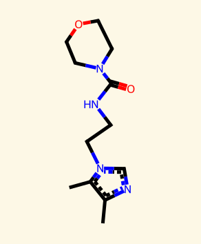 Cc1ncn(CCNC(=O)N2CCOCC2)c1C